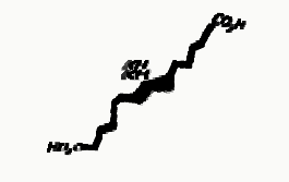 O=C(O)CCCCCCCCCCCC(=O)O.[KH].[KH]